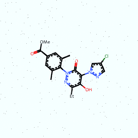 CCc1nn(-c2c(C)cc(C(=O)OC)cc2C)c(=O)c(-n2cc(Cl)cn2)c1O